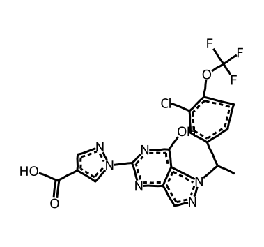 CC(c1ccc(OC(F)(F)F)c(Cl)c1)n1ncc2nc(-n3cc(C(=O)O)cn3)nc(O)c21